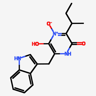 CCC(C)c1c(=O)[nH]c(Cc2c[nH]c3ccccc23)c(O)[n+]1[O-]